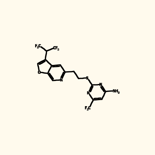 Nc1cc(C(F)(F)F)nc(SCCc2cc3c(C(C(F)(F)F)C(F)(F)F)coc3cn2)n1